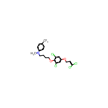 CN(CCCCOc1c(Cl)cc(OCC=C(Cl)Cl)cc1Cl)c1ccc(C(F)(F)F)cc1